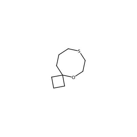 C1CSCCOC2(C1)CCC2